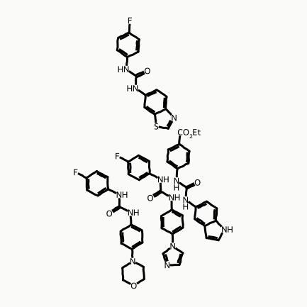 CCOC(=O)c1ccc(NC(=O)Nc2ccc3[nH]ccc3c2)cc1.O=C(Nc1ccc(F)cc1)Nc1ccc(-n2ccnc2)cc1.O=C(Nc1ccc(F)cc1)Nc1ccc(N2CCOCC2)cc1.O=C(Nc1ccc(F)cc1)Nc1ccc2ncsc2c1